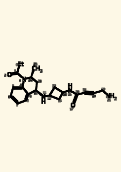 CCC(=O)N1c2ccccc2[C@H](NC2CC(NC(=O)C#CCN)C2)C[C@@H]1C